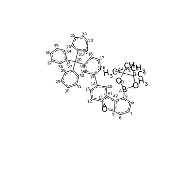 CC1(C)OB(c2cccc3oc4ccc(-c5cccc(C(c6ccccc6)(c6ccccc6)c6ccccc6)c5)cc4c23)OC1(C)C